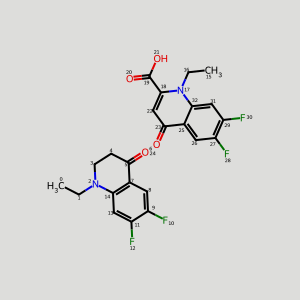 CCN1CCC(=O)c2cc(F)c(F)cc21.CCn1c(C(=O)O)cc(=O)c2cc(F)c(F)cc21